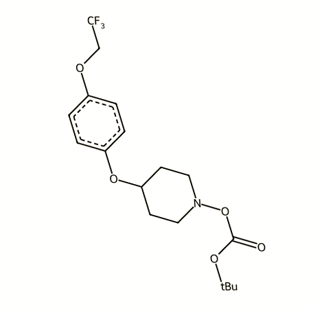 CC(C)(C)OC(=O)ON1CCC(Oc2ccc(OCC(F)(F)F)cc2)CC1